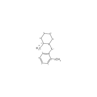 Cc1ccccc1SC1CCCCC1C